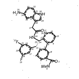 CNC(=O)c1cccc(-c2cccnc2[C@H](Cc2cc(F)cc(F)c2)NC(=O)Cc2c[nH]c3ccc(N)cc23)c1